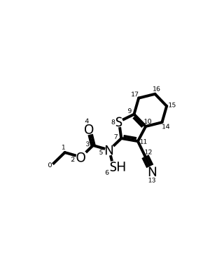 CCOC(=O)N(S)c1sc2c(c1C#N)CCCC2